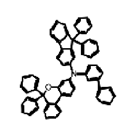 c1ccc(-c2cccc(N(c3ccc4c(c3)OC(c3ccccc3)(c3ccccc3)c3ccccc3-4)c3ccc4c(c3)C(c3ccccc3)(c3ccccc3)c3ccccc3-4)c2)cc1